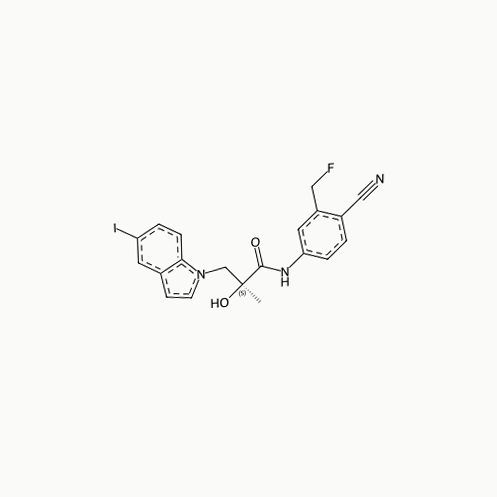 C[C@](O)(Cn1ccc2cc(I)ccc21)C(=O)Nc1ccc(C#N)c(CF)c1